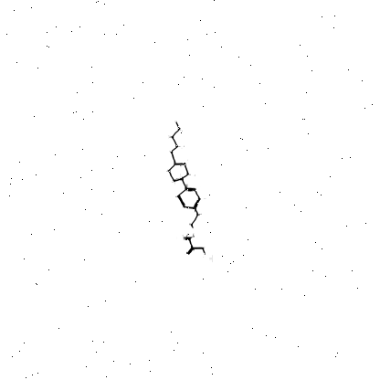 C=C(CO)C(=O)OCCc1ccc(C2CCC(CCCCC)CC2)cc1